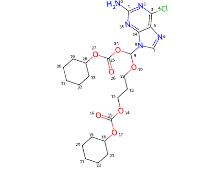 Nc1nc(Cl)c2ncn(C(OCCCOC(=O)OC3CCCCC3)OC(=O)OC3CCCCC3)c2n1